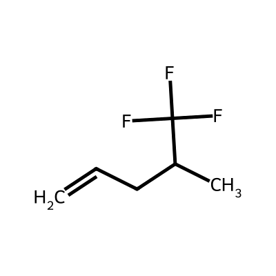 C=CCC(C)C(F)(F)F